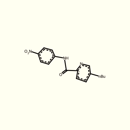 CCCCc1ccc(C(=O)Nc2ccc([N+](=O)[O-])cc2)nc1